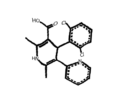 CC1=C(C(=O)O)C(c2c(Cl)cccc2Cl)C(c2ccccn2)=C(C)N1